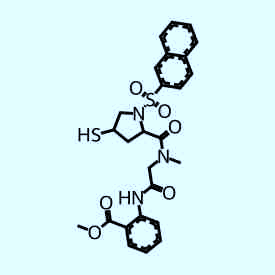 COC(=O)c1ccccc1NC(=O)CN(C)C(=O)C1CC(S)CN1S(=O)(=O)c1ccc2ccccc2c1